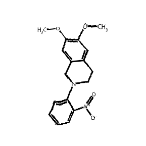 COc1cc2c(cc1OC)CN(c1cc[c]cc1[N+](=O)[O-])CC2